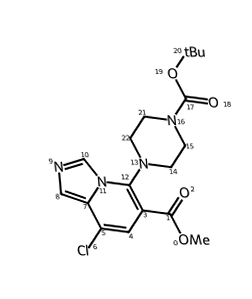 COC(=O)c1cc(Cl)c2cncn2c1N1CCN(C(=O)OC(C)(C)C)CC1